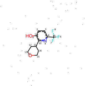 Oc1ccc(C(F)(F)F)nc1C1CCOCC1